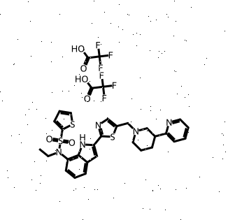 CCN(c1cccc2cc(-c3ncc(CN4CCCC(c5ccccn5)C4)s3)[nH]c12)S(=O)(=O)c1cccs1.O=C(O)C(F)(F)F.O=C(O)C(F)(F)F